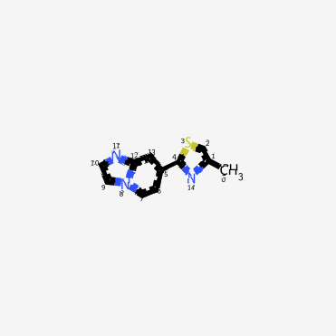 Cc1csc(-c2ccn3ccnc3c2)n1